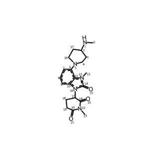 CNC1CCN(c2cccc3c2n(C)c(=O)n3C2CCC(=O)N(C)C2=O)CC1